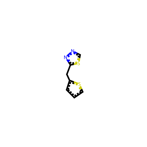 c1csc(Cc2nncs2)c1